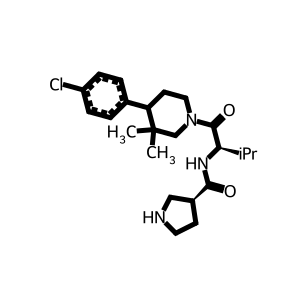 CC(C)[C@@H](NC(=O)[C@H]1CCNC1)C(=O)N1CCC(c2ccc(Cl)cc2)C(C)(C)C1